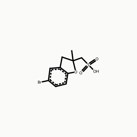 CC1(CS(=O)(=O)O)Cc2cc(Br)ccc2O1